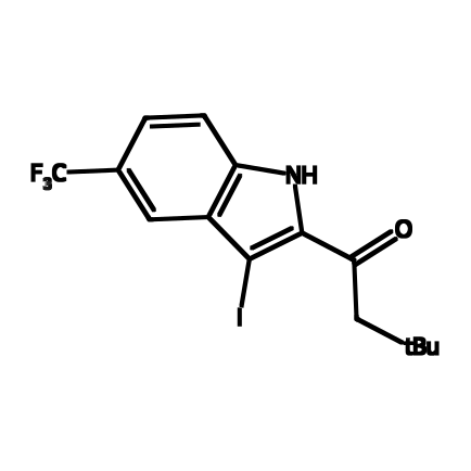 CC(C)(C)CC(=O)c1[nH]c2ccc(C(F)(F)F)cc2c1I